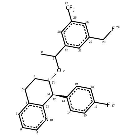 CC(O[C@H]1CCc2cccnc2[C@@H]1c1ccc(F)cc1)c1cc(CF)cc(C(F)(F)F)c1